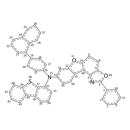 c1ccc(-c2nc3c(ccc4oc5cc(N(c6ccc(-c7cccc8ccccc78)cc6)c6cccc7c6sc6ccccc67)ccc5c43)o2)cc1